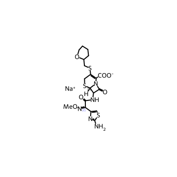 CO/N=C(\C(=O)NC1C(=O)N2C(C(=O)[O-])=C(SCC3CCCCO3)CS[C@@H]12)c1csc(N)n1.[Na+]